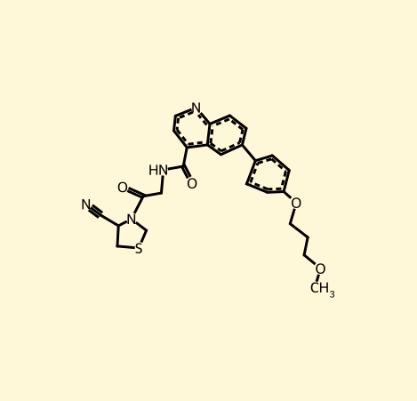 COCCCOc1ccc(-c2ccc3nccc(C(=O)NCC(=O)N4CSCC4C#N)c3c2)cc1